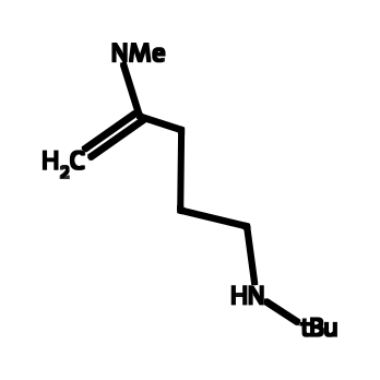 C=C(CCCNC(C)(C)C)NC